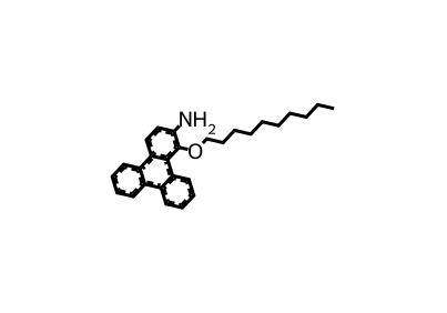 CCCCCCCCCCOc1c(N)ccc2c3ccccc3c3ccccc3c12